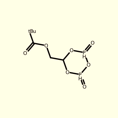 CC(C)(C)C(=O)OCC1O[PH](=O)O[PH](=O)O1